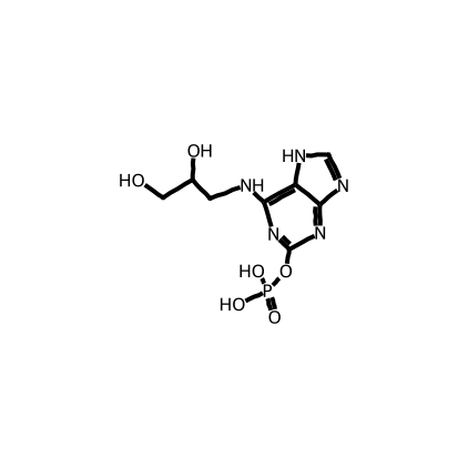 O=P(O)(O)Oc1nc(NCC(O)CO)c2[nH]cnc2n1